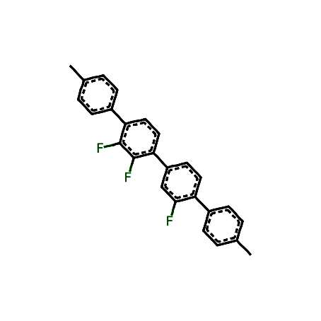 Cc1ccc(-c2ccc(-c3ccc(-c4ccc(C)cc4)c(F)c3F)cc2F)cc1